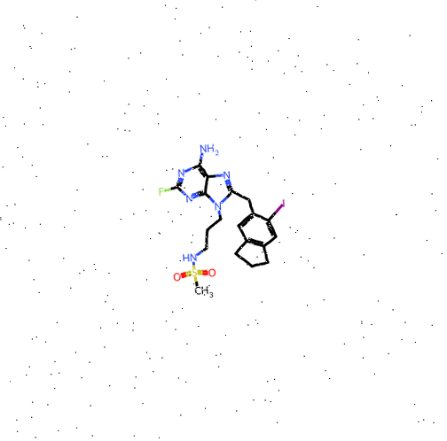 CS(=O)(=O)NCCCn1c(Cc2cc3c(cc2I)CCC3)nc2c(N)nc(F)nc21